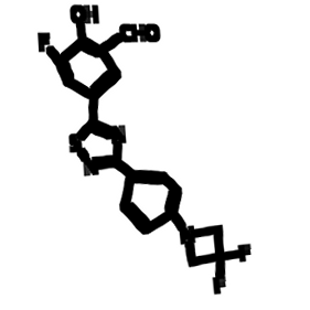 O=Cc1cc(-c2nc(-c3ccc(N4CC(F)(F)C4)cc3)ns2)cc(F)c1O